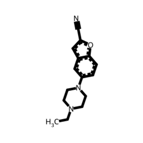 CCN1CCN(c2ccc3oc(C#N)cc3c2)CC1